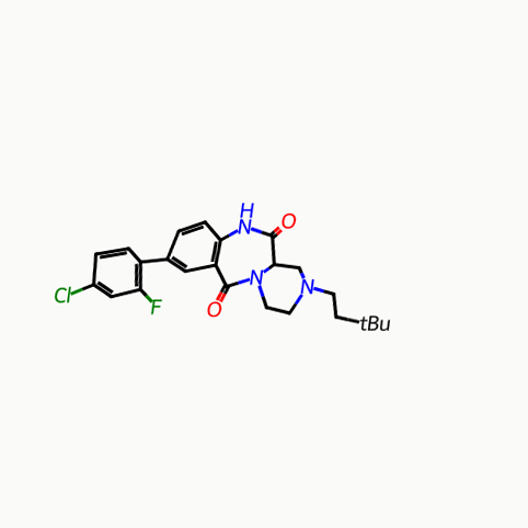 CC(C)(C)CCN1CCN2C(=O)c3cc(-c4ccc(Cl)cc4F)ccc3NC(=O)C2C1